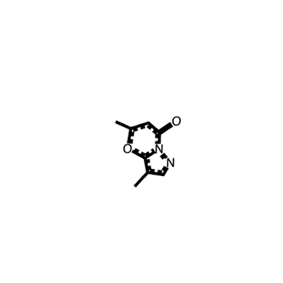 Cc1cc(=O)n2ncc(C)c2o1